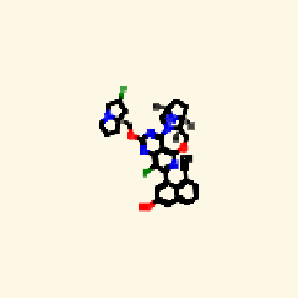 C#Cc1cccc2cc(O)cc(-c3nc4c5c(nc(OC[C@]67CCCN6C[C@@H](F)C7)nc5c3F)N3C[C@H]5CC[C@H](N5)[C@H]3CO4)c12